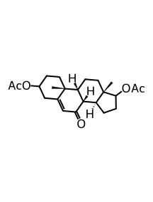 CC(=O)OC1CC[C@@]2(C)C(=CC(=O)[C@@H]3[C@H]2CC[C@]2(C)C(OC(C)=O)CC[C@@H]32)C1